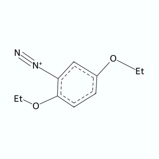 CCOc1ccc(OCC)c([N+]#N)c1